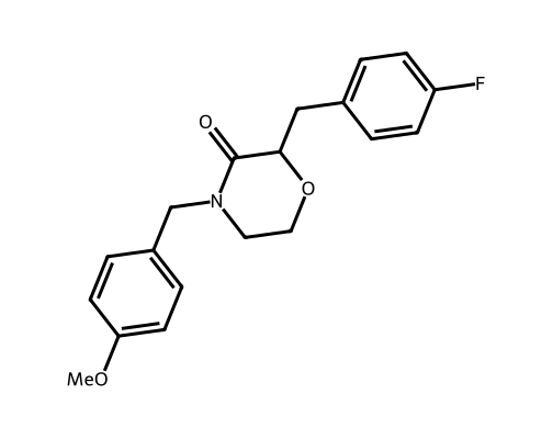 COc1ccc(CN2CCOC(Cc3ccc(F)cc3)C2=O)cc1